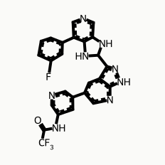 O=C(Nc1cncc(-c2cnc3[nH]nc(C4Nc5cncc(-c6cccc(F)c6)c5N4)c3c2)c1)C(F)(F)F